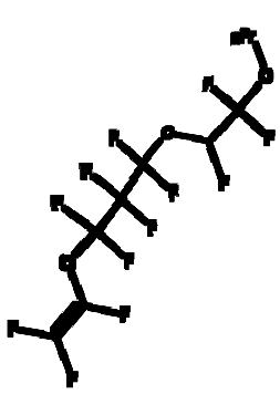 CCCOC(F)(F)C(F)OC(F)(F)C(F)(F)C(F)(F)OC(F)=C(F)F